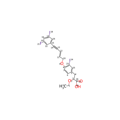 CCOC(Cc1ccc(OCC=CC#Cc2cc(I)cc(I)c2)c(I)c1)C(=O)O